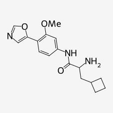 COc1cc(NC(=O)C(N)CC2CCC2)ccc1-c1cnco1